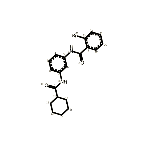 O=C(Nc1cccc(NC(=O)C2CCCCC2)c1)c1ccccc1Br